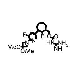 COC1(OC)CN(c2ncc(C3CCCCC(COC(=O)NC(=N)N)C3F)cc2F)C1